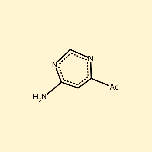 CC(=O)c1cc(N)ncn1